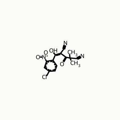 CC(C)(C#N)C(=O)C(C#N)=C(O)c1ccc(Cl)cc1[N+](=O)[O-]